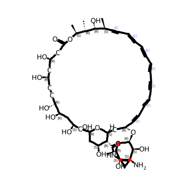 C[C@@H]1[C@H](O)[C@@H](C)/C=C/C=C/C=C/C=C/C=C/C=C/C=C/[C@H](O[C@@H]2O[C@H](C)[C@@H](O)[C@H](N)[C@@H]2O)C[C@@H]2O[C@](O)(C[C@@H](O)C[C@@H](O)[C@H](O)CC[C@@H](O)C[C@@H](O)CC(=O)O[C@H]1C)C[C@H](O)[C@H]2C(=O)NC1CC1